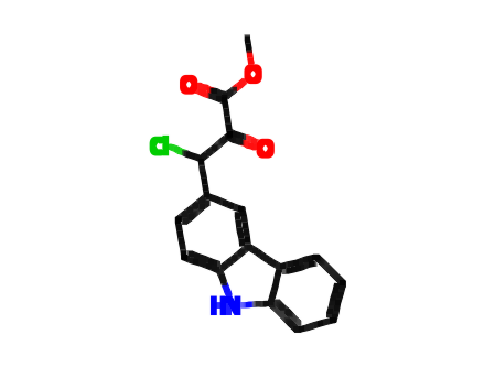 COC(=O)C(=O)C(Cl)c1ccc2[nH]c3ccccc3c2c1